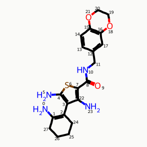 NC1=C(c2c(N)sc(C(=O)NCc3ccc4c(c3)OCCO4)c2N)CCCC1